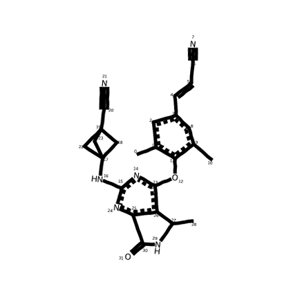 Cc1cc(/C=C/C#N)cc(C)c1Oc1nc(NC23CC(C#N)(C2)C3)nc2c1C(C)NC2=O